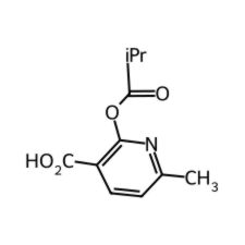 Cc1ccc(C(=O)O)c(OC(=O)C(C)C)n1